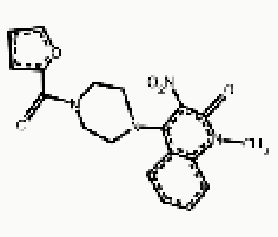 Cn1c(=O)c([N+](=O)[O-])c(N2CCN(C(=O)c3ccco3)CC2)c2ccccc21